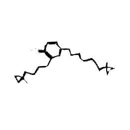 CC1(CCCCCCc2ccc(O)c(CCCCC3(C)CC3)c2)CC1